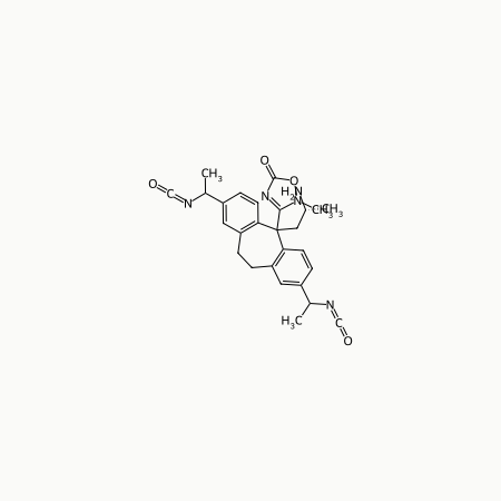 CC(N=C=O)c1ccc2c(c1)CCc1cc(C(C)N=C=O)ccc1C2(C[C@@H](C)N)c1nc(=O)on1C